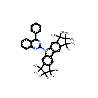 CC1(C)c2cc3c4cc5c(cc4n(-c4nc(-c6ccccc6)c6ccccc6n4)c3cc2C(C)(C)C1(C)C)C(C)(C)C(C)(C)C5(C)C